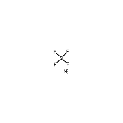 F[Si](F)(F)F.[N]